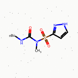 CCCCNC(=O)N(C)S(=O)(=O)c1cc[nH]n1